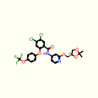 CC1(C)OC[C@H](COc2cc(NC(=O)c3cc(Cl)c(Cl)cc3Oc3ccc(OC(F)(F)F)cc3)ccn2)O1